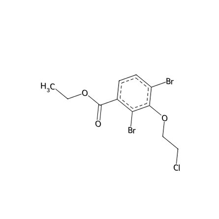 CCOC(=O)c1ccc(Br)c(OCCCl)c1Br